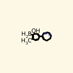 BC1=C(C)C=CC(C2=CCC/C=C\C=C/2)=CC1O